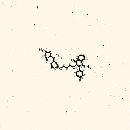 C=C1NC(=O)C(C(C)c2cccc(OCCCOc3c(-c4ccc(F)cc4)n(C)c4ccccc4c3=O)c2)S1